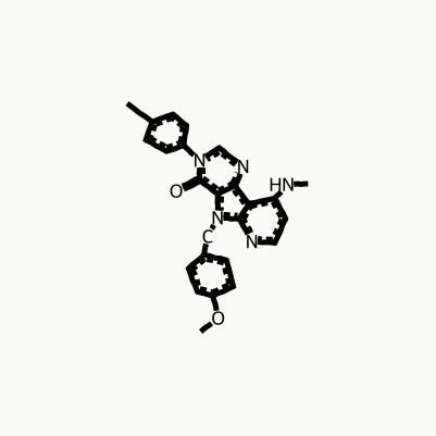 CNc1ccnc2c1c1ncn(-c3ccc(C)cc3)c(=O)c1n2Cc1ccc(OC)cc1